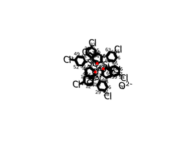 Clc1ccc([Si]([O][V+2]([O][Si](c2ccc(Cl)cc2)(c2ccc(Cl)cc2)c2ccc(Cl)cc2)[O][Si](c2ccc(Cl)cc2)(c2ccc(Cl)cc2)c2ccc(Cl)cc2)(c2ccc(Cl)cc2)c2ccc(Cl)cc2)cc1.[O-2]